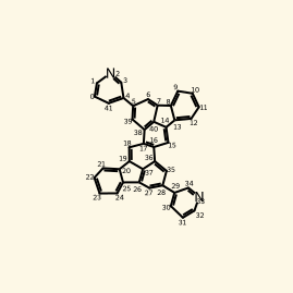 c1cncc(-c2cc3c4ccccc4c4cc5c(cc6c7ccccc7c7cc(-c8cccnc8)cc5c76)c(c2)c34)c1